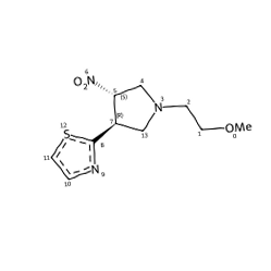 COCCN1C[C@@H]([N+](=O)[O-])[C@H](c2nccs2)C1